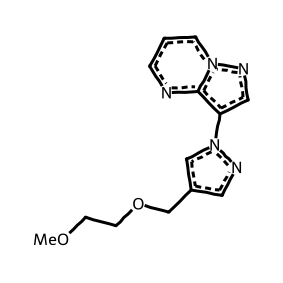 COCCOCc1cnn(-c2cnn3cccnc23)c1